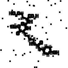 CC(C)(C)OC(=O)[C@H](CCCCNC(=O)Cc1ccc(O)cc1)NC(=O)N[C@@H](CCC(=O)O)C(=O)O